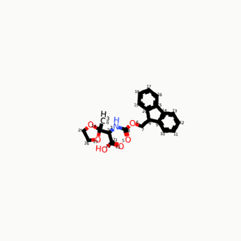 CC1(C(NC(=O)OCC2c3ccccc3-c3ccccc32)C(=O)O)OCCO1